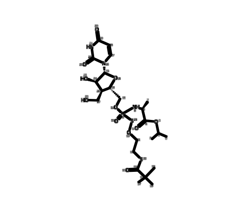 CC(C)OC(=O)[C@H](C)NP(=O)(OC[C@H]1O[C@@H](n2ccc(=O)[nH]c2=O)[C@H](O)[C@@H]1CO)SOCCSC(=O)C(C)(C)C